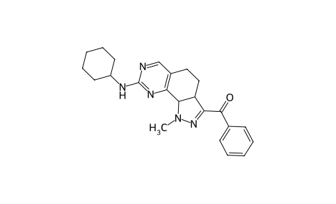 CN1N=C(C(=O)c2ccccc2)C2CCc3cnc(NC4CCCCC4)nc3C21